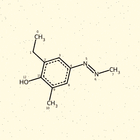 CCc1cc(/N=N/C)cc(C)c1O